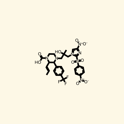 CC=CC1C(c2ccc(C(F)(F)F)cc2)N(CC(C)(O)Cn2cc([N+](=O)[O-])nc2S(=O)(=O)c2ccc([N+](=O)[O-])cc2)CCN1C(=O)O